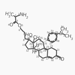 CC(N)C(=O)OCCC[C@]1(O)CC[C@H]2[C@@H]3CCC4=CC(=O)CCC4=C3[C@@H](c3ccc(N(C)C)cc3)C[C@]21C